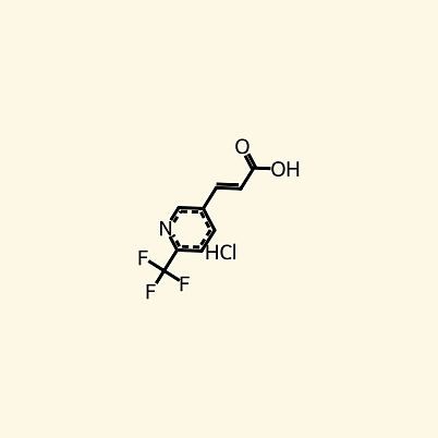 Cl.O=C(O)C=Cc1ccc(C(F)(F)F)nc1